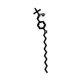 CCCCCCCCCCCCOc1ccc(C=[N+]([O-])C(C)(C)C)cc1